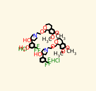 COc1cc2c(cc1OC)C(COCCN1CCC(O)(c3cccc(C(F)(F)F)c3)CC1)OCCC2.COc1cc2c(cc1OC)C(COCCN1CCC(O)(c3cccc(C(F)(F)F)c3)CC1)OCCC2.Cl.Cl.O